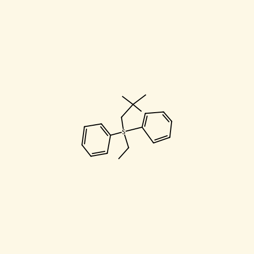 CCS(CC(C)(C)C)(c1ccccc1)c1ccccc1